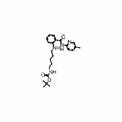 Cc1ccc(NC(=O)c2ccccc2NCCCCCNC(=O)OC(C)(C)C)nc1